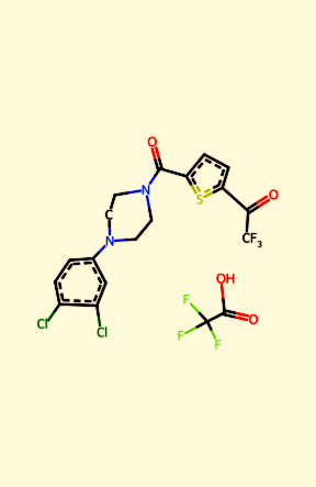 O=C(O)C(F)(F)F.O=C(c1ccc(C(=O)C(F)(F)F)s1)N1CCN(c2ccc(Cl)c(Cl)c2)CC1